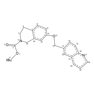 CC(C)(C)OC(=O)N1CCc2ccc(OCc3ccc4ncccc4c3)cc2C1